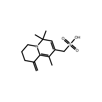 C=C1CCCN2C1=C(C)C(CS(=O)(=O)O)=CC2(C)C